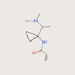 C=CC(=O)NC1(C(C)N(C)C)CC1